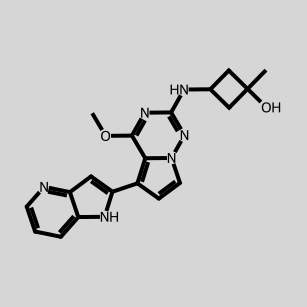 COc1nc(NC2CC(C)(O)C2)nn2ccc(-c3cc4ncccc4[nH]3)c12